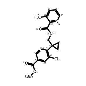 CC(C)(C)OC(=O)c1cnc(C2(CNC(=O)c3ncccc3C(F)(F)F)CC2)c(Cl)c1